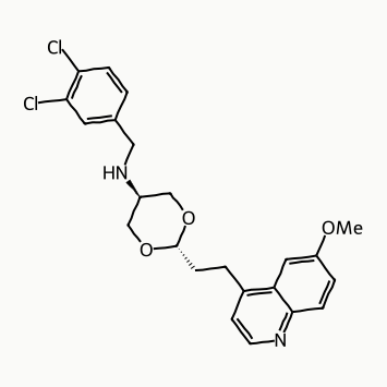 COc1ccc2nccc(CC[C@H]3OC[C@H](NCc4ccc(Cl)c(Cl)c4)CO3)c2c1